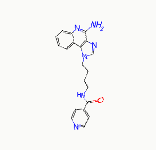 Nc1nc2ccccc2c2c1ncn2CCCCNC(=O)c1ccncc1